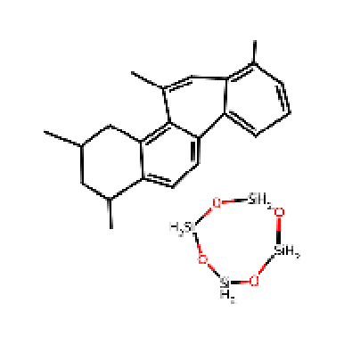 Cc1cccc2c1cc(C)c1c3c(ccc12)C(C)CC(C)C3.O1[SiH2]O[SiH2]O[SiH2]O[SiH2]1